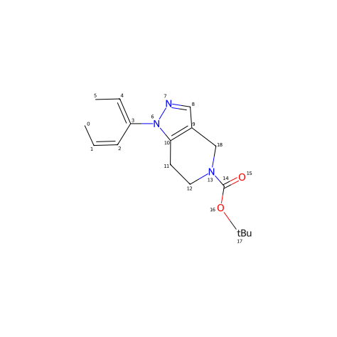 C/C=C\C(=C/C)n1ncc2c1CCN(C(=O)OC(C)(C)C)C2